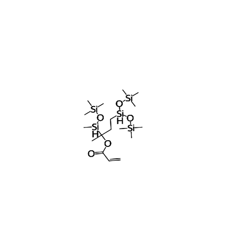 C=CC(=O)OC(C)(CC[SiH](O[Si](C)(C)C)O[Si](C)(C)C)[SiH](C)O[Si](C)(C)C